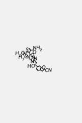 C=Nc1scc(C(N)=O)c1C(=O)N(C)Cc1nnn(C[C@H](O)c2ccc3cc(C#N)oc3c2)n1